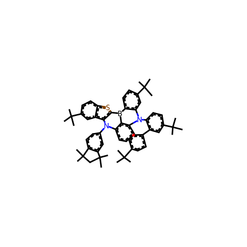 CC(C)(C)c1ccc(-c2cc(C(C)(C)C)ccc2N2c3cc(C(C)(C)C)ccc3B3c4sc5ccc(C(C)(C)C)cc5c4N(c4ccc5c(c4)C(C)(C)CC5(C)C)c4cccc2c43)cc1